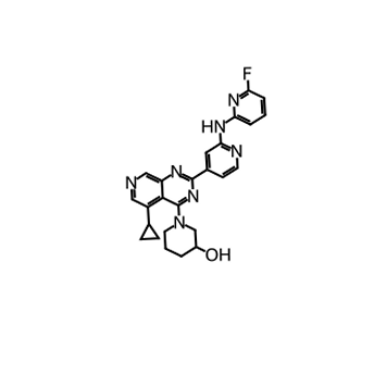 OC1CCCN(c2nc(-c3ccnc(Nc4cccc(F)n4)c3)nc3cncc(C4CC4)c23)C1